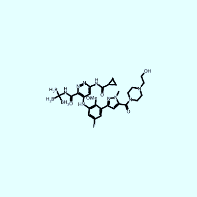 BC(B)(B)NC(=O)c1nnc(NC(=O)C2CC2)cc1Nc1cc(F)cc(-c2cc(C(=O)N3CCN(CCO)CC3)n(C)n2)c1OC